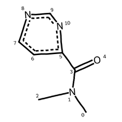 CN(C)C(=O)c1ccncn1